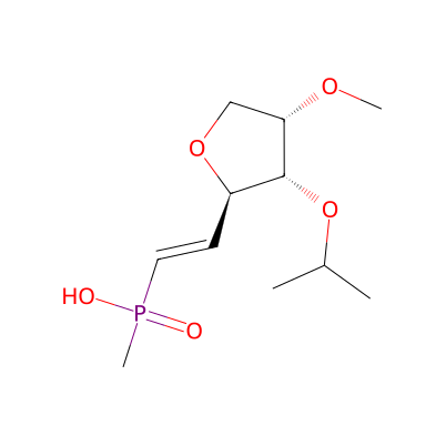 CO[C@H]1CO[C@H](/C=C/P(C)(=O)O)[C@H]1OC(C)C